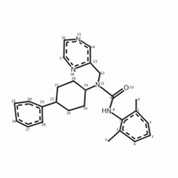 Cc1cccc(C)c1NC(=O)N(Cc1cnccn1)C1CCC(c2ccccc2)CC1